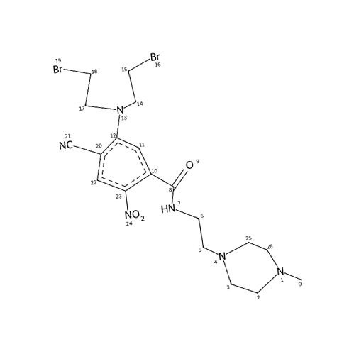 CN1CCN(CCNC(=O)c2cc(N(CCBr)CCBr)c(C#N)cc2[N+](=O)[O-])CC1